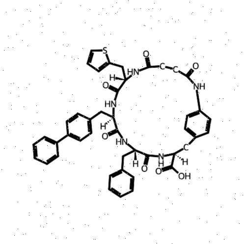 O=C1CCC(=O)N[C@@H](Cc2cccs2)C(=O)N[C@H](Cc2ccc(-c3ccccc3)cc2)C(=O)N[C@@H](Cc2ccccc2)C(=O)N[C@H](C(=O)O)Cc2ccc(cc2)N1